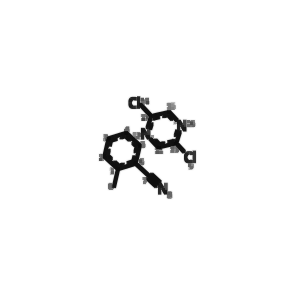 Cc1ccccc1C#N.Clc1cnc(Cl)cn1